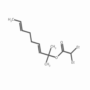 C/C=C/CC/C=C/C(C)(C)OC(=O)C(CC)CC